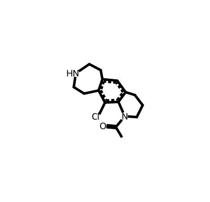 CC(=O)N1CCCc2cc3c(c(Cl)c21)CCNCC3